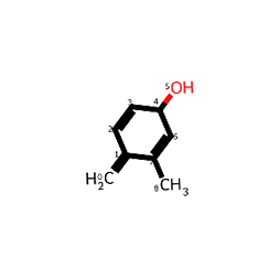 C=C1C=CC(O)C=C1C